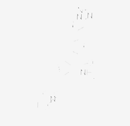 CN(C)CCCc1cccc(C(C(N)=O)c2ccc(-c3ccn4ncnc4c3)cc2)c1